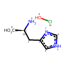 N[C@@H](Cc1c[nH]cn1)C(=O)O.OCl